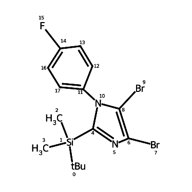 CC(C)(C)[Si](C)(C)c1nc(Br)c(Br)n1-c1ccc(F)cc1